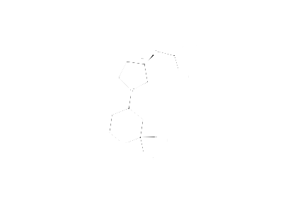 CC(C)N[C@@H]1CCN(C2CCOC(C)(C)C2)C1